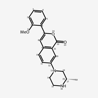 COc1ccccc1-c1cc2ccc(N3CCN[C@@H](C)C3)cc2c(=O)o1